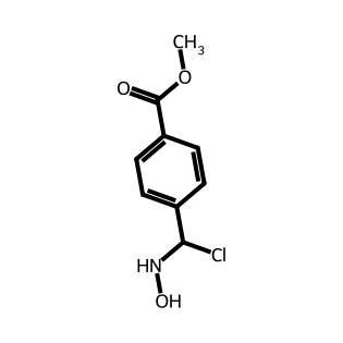 COC(=O)c1ccc(C(Cl)NO)cc1